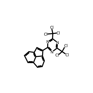 ClC(Cl)(Cl)c1nc(C2=Cc3cccc4cccc2c34)nc(C(Cl)(Cl)Cl)n1